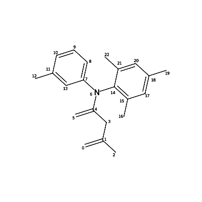 C=C(C)CC(=C)N(c1cccc(C)c1)c1c(C)cc(C)cc1C